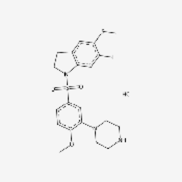 COc1ccc(S(=O)(=O)N2CCc3cc(SC)c(I)cc32)cc1N1CCNCC1.Cl